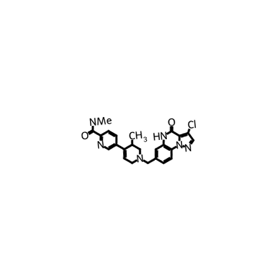 CNC(=O)c1ccc(C2=CCN(Cc3ccc4c(c3)[nH]c(=O)c3c(Cl)cnn34)CC2C)cn1